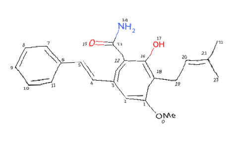 COc1cc(/C=C/c2ccccc2)c(C(N)=O)c(O)c1CC=C(C)C